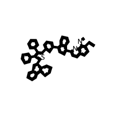 C=Cc1ccc2ccc(-c3ccc(-c4cccc(-c5sc(-c6cc7ccccc7c7ccccc67)c(-c6ccccc6)c5-c5ccccc5)c4)c4ccccc34)nc2c1N=C